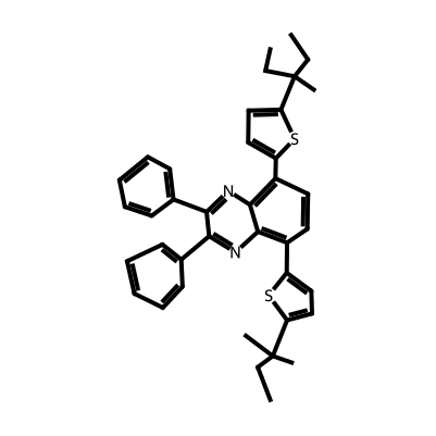 CCC(C)(C)c1ccc(-c2ccc(-c3ccc(C(C)(CC)CC)s3)c3nc(-c4ccccc4)c(-c4ccccc4)nc23)s1